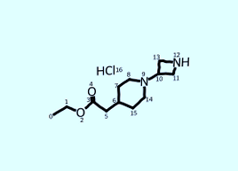 CCOC(=O)CC1CCN(C2CNC2)CC1.Cl